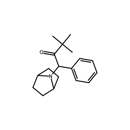 CC(C)(C)C(=O)C(c1ccccc1)N1C2CCC1CC2